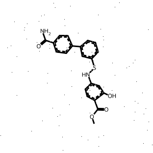 COC(=O)c1ccc(NSc2cccc(-c3ccc(C(N)=O)cc3)c2)cc1O